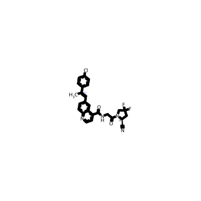 C/C(=C\c1ccc2nccc(C(=O)NCC(=O)N3CC(F)(F)C[C@H]3C#N)c2c1)c1ccc(Cl)cc1